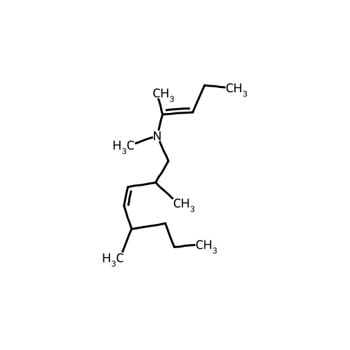 CC/C=C(\C)N(C)CC(C)/C=C\C(C)CCC